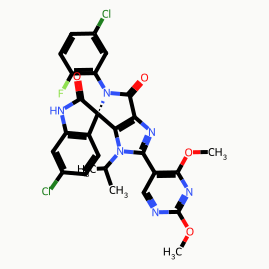 COc1ncc(-c2nc3c(n2C(C)C)[C@@]2(C(=O)Nc4cc(Cl)ccc42)N(c2cc(Cl)ccc2F)C3=O)c(OC)n1